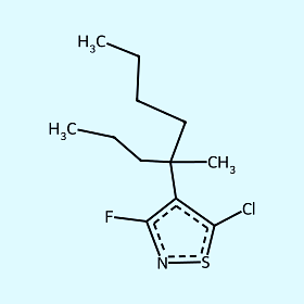 CCCCC(C)(CCC)c1c(F)nsc1Cl